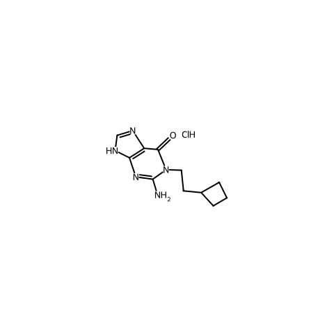 Cl.Nc1nc2[nH]cnc2c(=O)n1CCC1CCC1